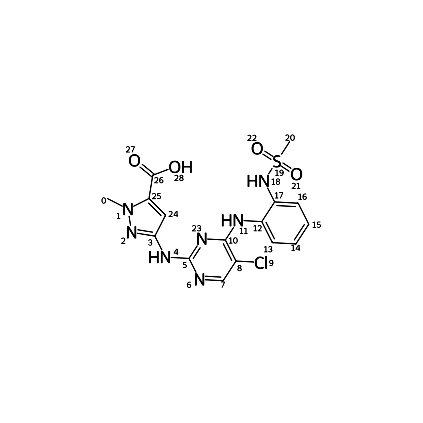 Cn1nc(Nc2ncc(Cl)c(Nc3ccccc3NS(C)(=O)=O)n2)cc1C(=O)O